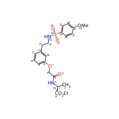 CCOC(=O)[C@H](C)NC(=O)COc1cccc(CCNS(=O)(=O)c2ccc(OC)cc2)c1